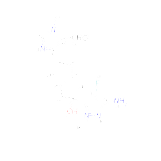 Cn1cnc(C2CC3CC(O)(c4c(F)c(N)nn4C)CC3C2)c1C=O